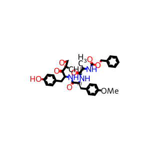 COc1ccc(C[C@H](NC(=O)[C@@H](C)NC(=O)OCc2ccccc2)C(=O)NC(Cc2ccc(O)cc2)C(=O)C2(C)CO2)cc1